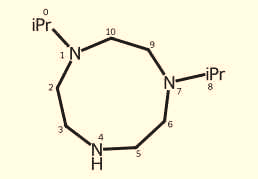 CC(C)N1CCNCCN(C(C)C)CC1